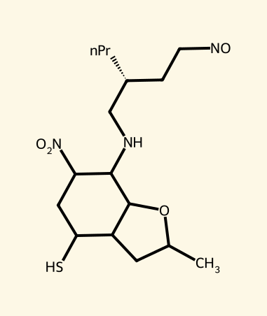 CCC[C@H](CCN=O)CNC1C2OC(C)CC2C(S)CC1[N+](=O)[O-]